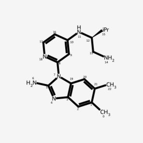 Cc1cc2nc(N)n(-c3cc(N[C@H](CN)C(C)C)ccn3)c2cc1C